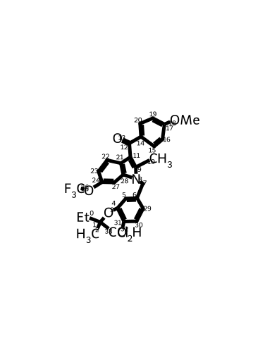 CCC(C)(Oc1cc(Cn2c(C)c(C(=O)c3ccc(OC)cc3)c3ccc(OC(F)(F)F)cc32)ccc1Cl)C(=O)O